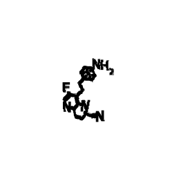 N#Cc1ccc2ncc(F)c(CCC34CCC(N)(CC3)CO4)c2n1